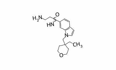 CCC1(Cn2ccc3ccc(S(=N)(=O)CCN)cc32)CCOCC1